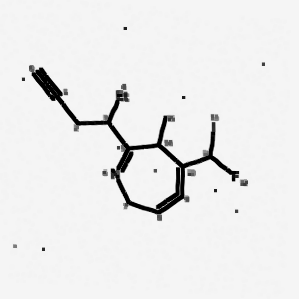 C#CCC(CC)C1=NCC=C=C(C(F)I)C1C